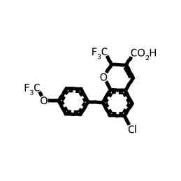 O=C(O)C1=Cc2cc(Cl)cc(-c3ccc(OC(F)(F)F)cc3)c2OC1C(F)(F)F